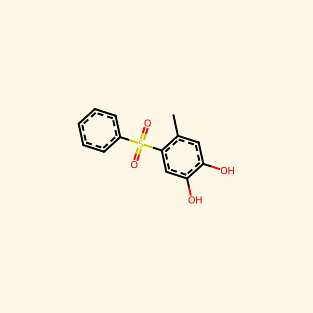 Cc1cc(O)c(O)cc1S(=O)(=O)c1ccccc1